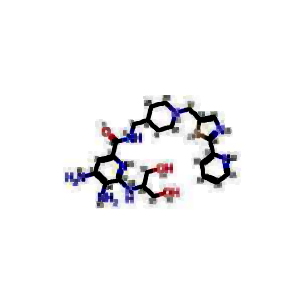 Nc1cc(C(=O)NCC2CCN(Cc3cnc(-c4ccccn4)s3)CC2)nc(NC(CO)CO)c1N